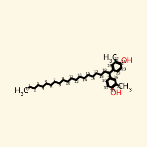 CCCCCCCCCCCCCCCCCCCCC(c1ccc(O)c(C)c1)c1ccc(O)c(C)c1